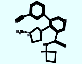 CC1(NC(=O)c2cncc(-c3cccc(C#N)c3)c2N2CC[C@H](N)C2)CCC1